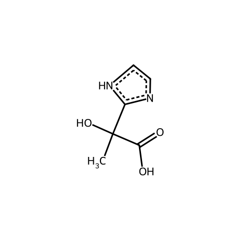 CC(O)(C(=O)O)c1ncc[nH]1